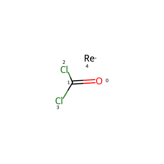 O=C(Cl)Cl.[Re]